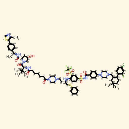 Cc1ncsc1-c1ccc([C@H](C)NC(=O)[C@@H]2C[C@@H](O)CN2C(=O)[C@@H](NC(=O)CCCCCC(=O)N2CCN(CC[C@H](CSc3ccccc3)Nc3ccc(S(=O)(=O)NC(=O)c4ccc(N5CCN(CC6=C(c7ccc(Cl)cc7F)CCC(C)(C)C6)CC5)cc4)cc3S(=O)(=O)C(F)(F)F)CC2)C(C)(C)C)cc1